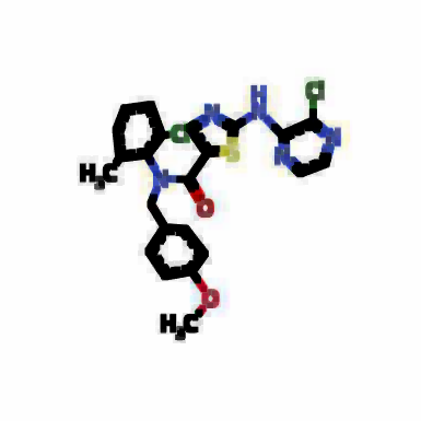 COc1ccc(CN(C(=O)c2cnc(Nc3nccnc3Cl)s2)c2c(C)cccc2Cl)cc1